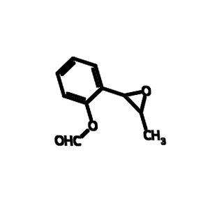 CC1OC1c1ccccc1OC=O